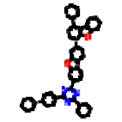 c1ccc(-c2ccc(-c3nc(-c4ccccc4)nc(-c4ccc5c(c4)oc4cc(-c6ccc(-c7ccccc7)c7c6oc6ccccc67)ccc45)n3)cc2)cc1